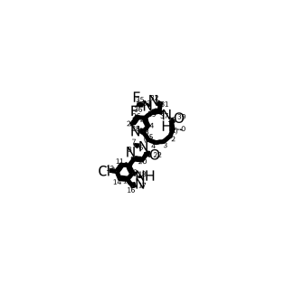 C[C@@H]1CCC[C@H](n2cnc(-c3cc(Cl)cc4cn[nH]c34)cc2=O)c2cc(ccn2)-c2c(cnn2C(F)F)NC1=O